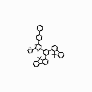 CC1(C)c2ccccc2-c2cccc(-c3cc(-c4cc(-c5ccc(-c6ccccc6)cc5)nc(-c5ccco5)n4)cc(-c4cccc5c4C(C)(C)c4ccccc4-5)c3)c21